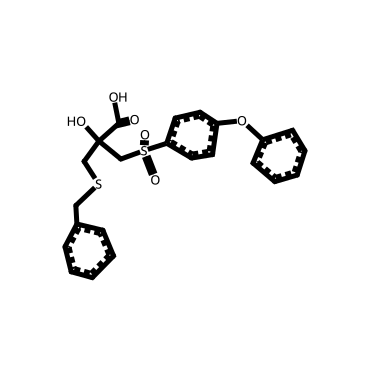 O=C(O)C(O)(CSCc1ccccc1)CS(=O)(=O)c1ccc(Oc2ccccc2)cc1